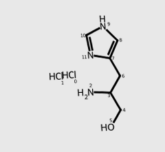 Cl.Cl.NC(CO)Cc1c[nH]cn1